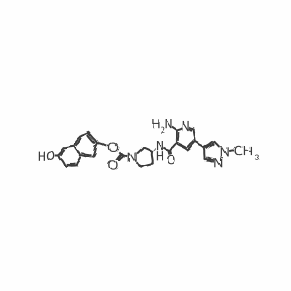 Cn1cc(-c2cnc(N)c(C(=O)N[C@@H]3CCN(C(=O)Oc4ccc5cc(O)ccc5c4)C3)c2)cn1